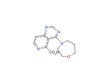 O=C(O)c1nccc2ncnc(N3CCCOCC3)c12